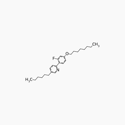 CCCCCCCCOc1ccc(-c2ccc(CCCCCC)cn2)c(F)c1